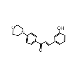 O=C(C=Cc1cccc(O)c1)c1ccc(N2CCOCC2)cc1